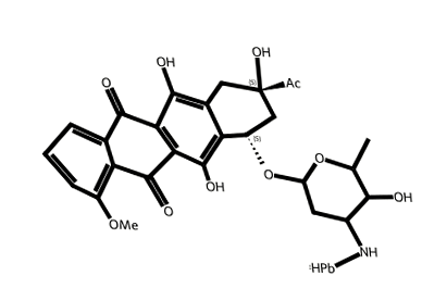 COc1cccc2c1C(=O)c1c(O)c3c(c(O)c1C2=O)C[C@@](O)(C(C)=O)C[C@@H]3OC1CC([NH][PbH])C(O)C(C)O1